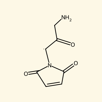 NCC(=O)[CH]N1C(=O)C=CC1=O